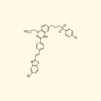 O=C(O)COc1ccc(CCCS(=O)(=O)c2ccc(Cl)cc2)cc1NC(=O)c1ccc(/C=C/c2nc3cc(Br)ccc3s2)cc1